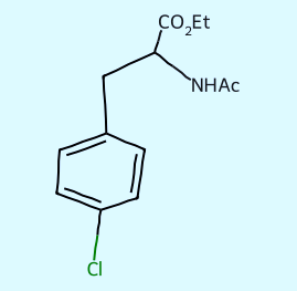 CCOC(=O)C(Cc1ccc(Cl)cc1)NC(C)=O